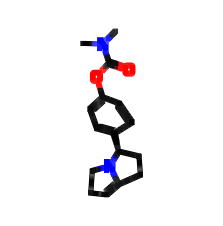 CN(C)C(=O)Oc1ccc([C@H]2CCC3=CCCN32)cc1